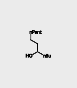 [CH2]CCCC(O)CCCCCCC